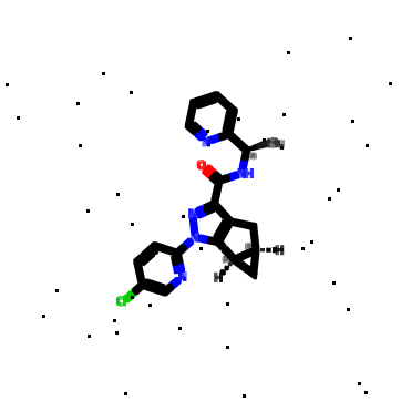 CC(C)(C)[C@@H](NC(=O)c1nn(-c2ccc(Cl)cn2)c2c1C[C@H]1C[C@@H]21)c1ccccn1